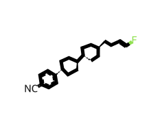 N#Cc1ccc([C@H]2CC[C@H]([C@H]3CC[C@H](CC/C=C/F)CC3)CC2)cc1